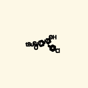 CC(C)(C)OC(=O)N1CCC(N2C[C@H](O)C[C@@H]2Cc2ccc(Cl)cc2)CC1